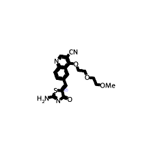 COCCOCCOc1c(C#N)cnc2ccc(/C=C3\SC(N)=NC3=O)cc12